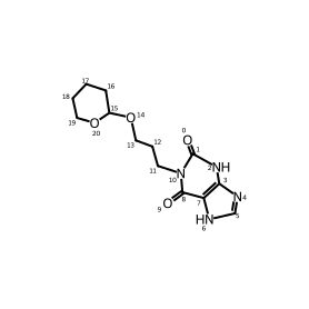 O=c1[nH]c2nc[nH]c2c(=O)n1CCCOC1CCCCO1